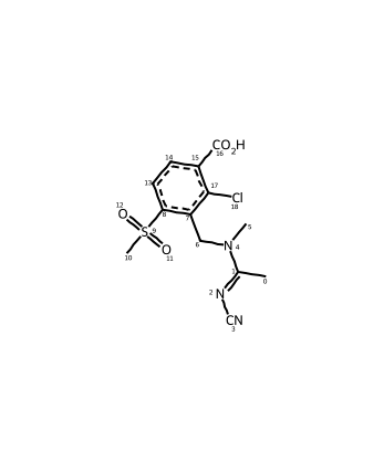 CC(=NC#N)N(C)Cc1c(S(C)(=O)=O)ccc(C(=O)O)c1Cl